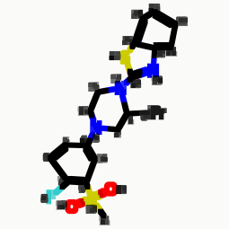 CC(C)C1CN(c2ccc(F)c(S(C)(=O)=O)c2)CCN1c1nc2ccccc2s1